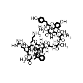 CC[C@@H](C)[C@@H](NC(=O)CNC(=O)[C@@H](C)NC(=O)[C@H](NC(=O)[C@@H](Cc1ccc(O)cc1)NC(=O)[C@@H](C)NC(=O)[C@H](N)Cc1ccc(O)cc1)C(C)C)C(=O)N[C@H](CC(C)C)C(=O)N[C@H](CCCCN)C(=O)N[C@H](CCCNC(=N)N)C(=O)N[C@H](Cc1c[nH]c2ccccc12)C(N)=O